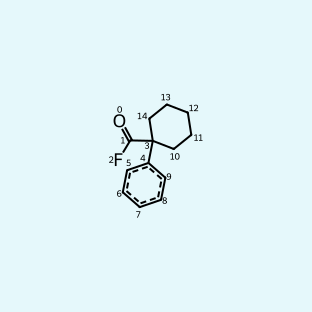 O=C(F)C1(c2ccccc2)CCCCC1